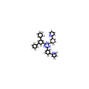 C1=C(c2ccccn2)CCC=C1c1nc(-c2cc(-c3ccccc3)cc(-c3ccccc3)c2)nc(-c2cccc(-c3ccccn3)c2)n1